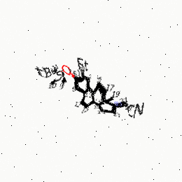 CCc1cc2c(cc1O[Si](C)(C)C(C)(C)C)CCC1C2CCC2(C)/C(=C/C#N)CCC12